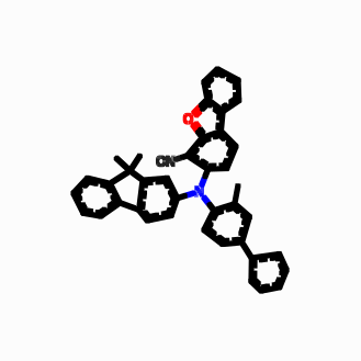 Cc1cc(-c2ccccc2)ccc1N(c1ccc2c(c1)C(C)(C)c1ccccc1-2)c1ccc2c(oc3ccccc32)c1N=O